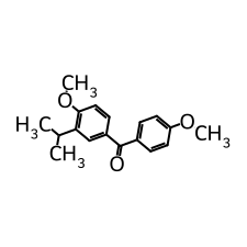 COc1ccc(C(=O)c2ccc(OC)c(C(C)C)c2)cc1